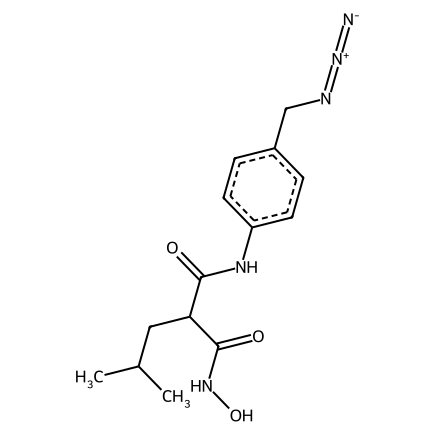 CC(C)CC(C(=O)NO)C(=O)Nc1ccc(CN=[N+]=[N-])cc1